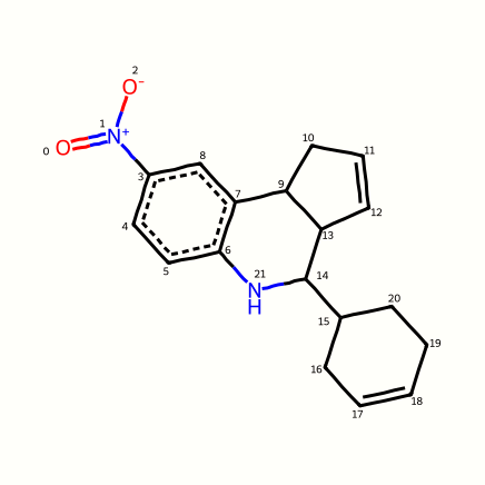 O=[N+]([O-])c1ccc2c(c1)C1CC=CC1C(C1CC=CCC1)N2